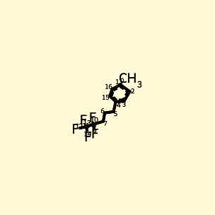 Cc1ccc(CCCC(F)(F)C(F)(F)F)cc1